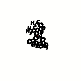 Cc1ccc2c(c1)C1(CC(C)(C)c3ccccc31)c1cc(N(c3ccc4c(c3)C(C)(C)c3ccccc3-4)c3ccc4c(c3)C(C)(C)c3ccccc3-4)ccc1O2